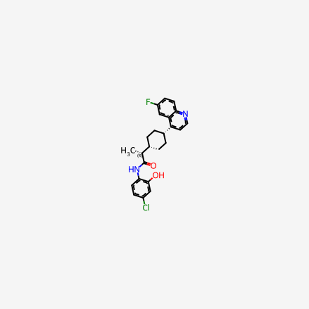 C[C@@H](C(=O)Nc1ccc(Cl)cc1O)[C@H]1CC[C@@H](c2ccnc3ccc(F)cc32)CC1